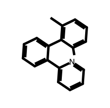 Cc1cccc(C)c1-c1ccccc1-c1ccccn1